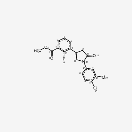 COC(=O)c1cccc(C2CC(=O)N(c3ccc(Cl)c(Cl)c3)C2)c1F